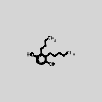 CCCCCc1c(O)ccc(O)c1CCCC